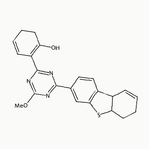 COc1nc(C2=C(O)CCC=C2)nc(-c2ccc3c(c2)SC2CCC=CC32)n1